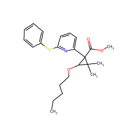 CCCCCOC1C(C)(C)C1(C(=O)OC)c1cccc(Sc2ccccc2)n1